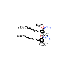 CCCCCCCCCCCCCCCCCCc1cc(C(N)=O)ccc1C(=O)[O-].CCCCCCCCCCCCCCCCCCc1cc(C(N)=O)ccc1C(=O)[O-].[Ba+2]